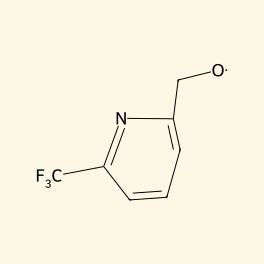 [O]Cc1cccc(C(F)(F)F)n1